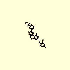 Cc1cnc(COc2cc(C)n(-c3cc(-c4ccnc(C(C)(C)O)n4)ncc3C)c(=O)c2)c(F)c1